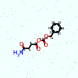 NC(=O)CCC(=O)OC(=O)OCc1ccccc1